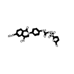 CNc1ccc2c(=O)n(-c3ccc(NC(=O)NS(=O)(=O)c4ccc(Cl)s4)cc3)cc(N=O)c2c1